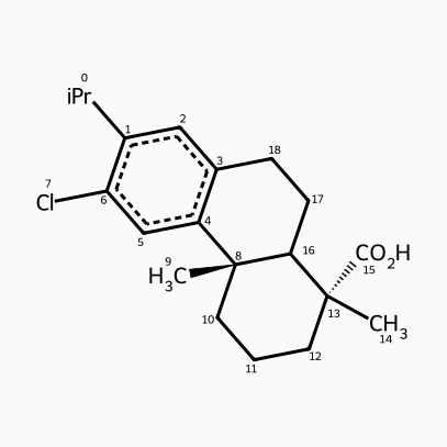 CC(C)c1cc2c(cc1Cl)[C@@]1(C)CCC[C@@](C)(C(=O)O)C1CC2